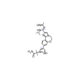 CC(=N)/N=C(\NC(C)C)c1cn2c(n1)-c1ccc(/C(C=N)=C/NC(C)(C)C(N)=O)cc1OCC2